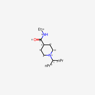 CCCC(CCC)N1CCC(C(=O)NCC)CC1